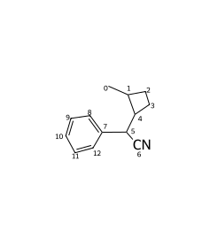 CC1CCC1C(C#N)c1ccccc1